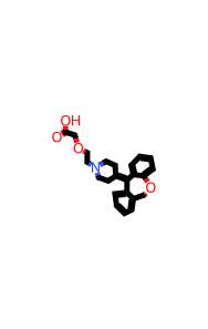 O=C(O)COCCN1CCC(=C2c3ccccc3COc3ccccc32)CC1